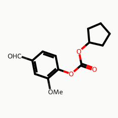 COc1cc(C=O)ccc1OC(=O)OC1CCCC1